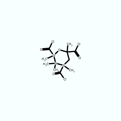 CC1(C(=O)Cl)C[Si](C)(C(=O)Cl)[Si](C)(C)[Si](C)(C(=O)Cl)O1